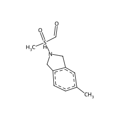 Cc1ccc2c(c1)CN([SH](C)(=O)C=O)C2